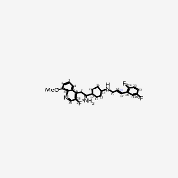 COc1cccc2c(C[C@H](N)C3CCC(NC/C=C/c4cc(F)ccc4F)CC3)c(F)cnc12